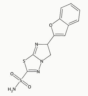 NS(=O)(=O)C1=NN2CC(c3cc4ccccc4o3)N=C2S1